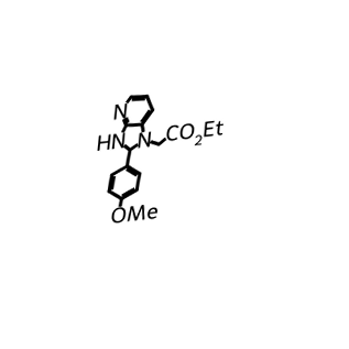 CCOC(=O)CN1c2cccnc2NC1c1ccc(OC)cc1